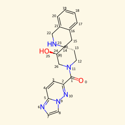 O=C(c1ccc2nccn2n1)N1CC[C@]2(Cc3ccccc3CN2)[C@H](O)C1